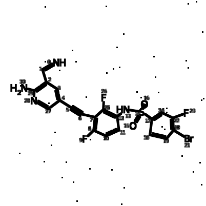 N=Cc1cc(C#Cc2c(F)ccc(NS(=O)(=O)c3ccc(Br)c(F)c3)c2F)cnc1N